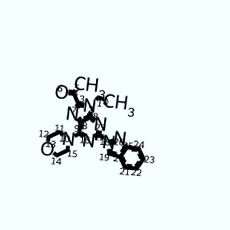 CCn1c(C(C)=O)nc2c(N3CCOCC3)nc(-n3cc4ccccc4n3)nc21